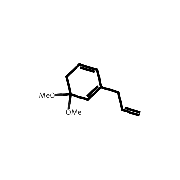 C=CCC1=CC(OC)(OC)CC=C1